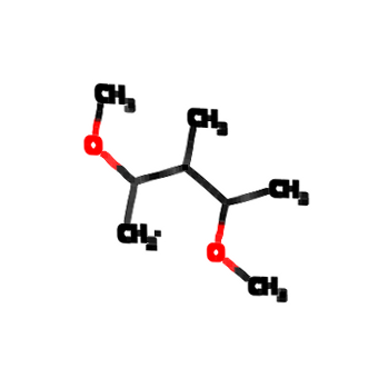 [CH2]C(OC)C(C)C(C)OC